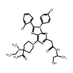 CCN(C)C1(C(N)=O)CCN(c2nc(CC(=O)NC(C)CO)nc3c2nc(-c2ccccc2Cl)n3-c2ccc(Cl)cc2)CC1